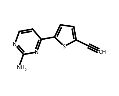 C#Cc1ccc(-c2ccnc(N)n2)s1